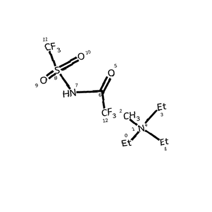 CC[N+](C)(CC)CC.O=C(NS(=O)(=O)C(F)(F)F)C(F)(F)F